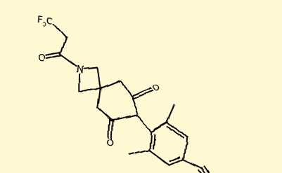 CC#Cc1cc(C)c(C2C(=O)CC3(CC2=O)CN(C(=O)CC(F)(F)F)C3)c(C)c1